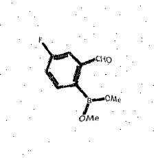 COB(OC)c1ccc(F)cc1C=O